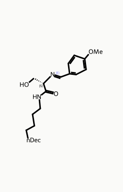 CCCCCCCCCCCCCCNC(=O)[C@H](CO)/N=C/c1ccc(OC)cc1